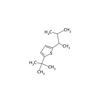 CC(C)C(C)c1ccc(C(C)(C)C)s1